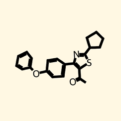 CC(=O)c1sc(C2CCCC2)nc1-c1ccc(Oc2ccccc2)cc1